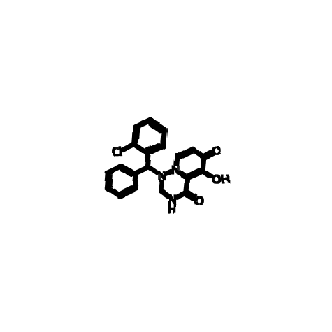 O=C1NCN(C(c2ccccc2)c2ccccc2Cl)n2ccc(=O)c(O)c21